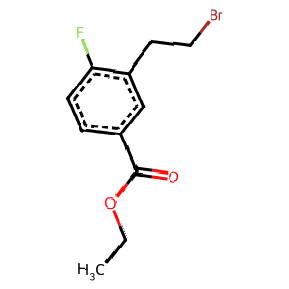 CCOC(=O)c1ccc(F)c(CCBr)c1